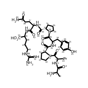 CC(N)C(=O)NC(C(=O)N1CCC[C@H]1C(=O)NC(Cc1ccc(O)cc1)C(=O)N1CCC[C@H]1C(=O)NC(CCC(N)=O)C(=O)NC(CCCNC(=N)N)C(=O)O)C(C)C